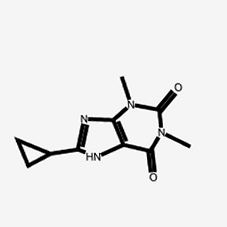 Cn1c(=O)c2[nH]c(C3CC3)nc2n(C)c1=O